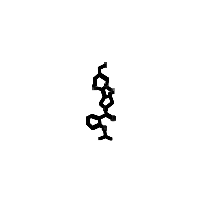 CC(C)Oc1ccccc1C(=O)N1Cc2nn3cc(CI)cnc3c2C1